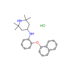 CC1(C)CC(Nc2ccccc2Oc2cccc3ccccc23)CC(C)(C)N1.Cl